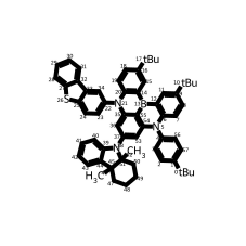 CC(C)(C)c1ccc(N2c3ccc(C(C)(C)C)cc3B3c4cc(C(C)(C)C)ccc4N(c4ccc5sc6ccccc6c5c4)c4cc(N5c6ccccc6C6(C)CCCCC56C)cc2c43)cc1